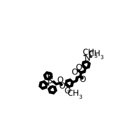 CCN(CC)c1ccc2cc(C(=O)/C=C/c3ccc(OC(=O)CC[PH](c4ccccc4)(c4ccccc4)c4ccccc4)c(OC)c3)c(=O)oc2c1